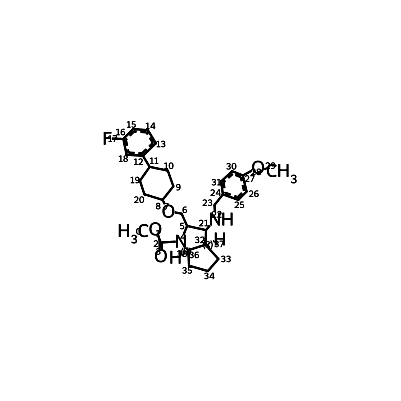 COC(=O)N1C(COC2CCC(c3cccc(F)c3)CC2)C(NCc2ccc(OC)cc2)[C@H]2CCC[C@H]21